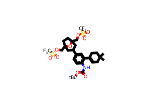 CC1(C)CC=C(c2cc(C3CC4(COS(=O)(=O)C(F)(F)F)CCC(COS(=O)(=O)C(F)(F)F)(C3)O4)ccc2NC(=O)OC(C)(C)C)CC1